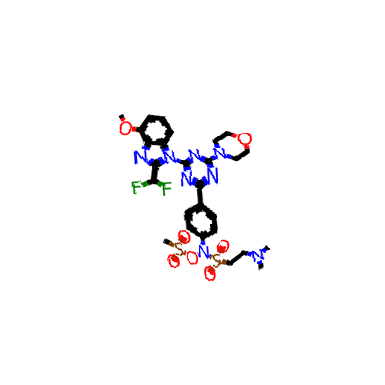 COc1cccc2c1nc(C(F)F)n2-c1nc(-c2ccc(N(OS(C)(=O)=O)S(=O)(=O)CCN(C)C)cc2)nc(N2CCOCC2)n1